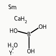 O.OB(O)O.[CaH2].[Sm].[Y]